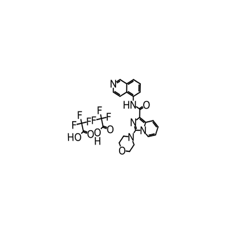 O=C(Nc1cccc2cnccc12)c1nc(N2CCOCC2)n2ccccc12.O=C(O)C(F)(F)F.O=C(O)C(F)(F)F